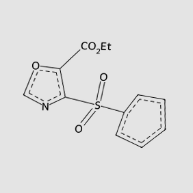 CCOC(=O)c1ocnc1S(=O)(=O)c1ccccc1